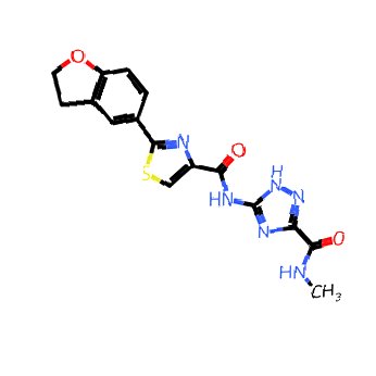 CNC(=O)c1n[nH]c(NC(=O)c2csc(-c3ccc4c(c3)CCO4)n2)n1